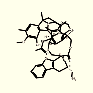 COc1c(C)cc2c(c1O)C1[C@@H]3[C@@H]4SC[C@]5(N[C@H](CN)Cc6c5oc5ccccc65)C(=O)OC[C@@H](c5c6c(c(C)c(OC(C)=O)c54)OCO6)N3C3(C)CN1C2(C)C3